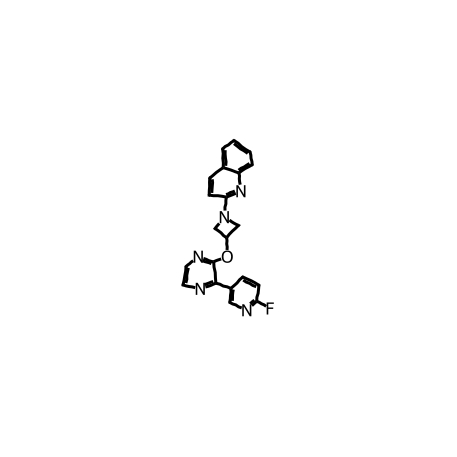 Fc1ccc(-c2nccnc2OC2CN(c3ccc4ccccc4n3)C2)cn1